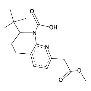 COC(=O)Cc1ccc2c(n1)N(C(=O)O)C(C(C)(C)C)CC2